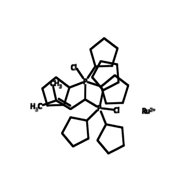 CC(C)=CC(P(Cl)(C1CCCC1)(C1CCCC1)C1CCCC1)P(Cl)(C1CCCC1)(C1CCCC1)C1CCCC1.[Ru+2]